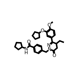 CCC1CC(=O)N(Cc2ccc(C(=O)NC3CCCC3)cc2)N=C1c1ccc(OC)c(OC2CCCC2)c1